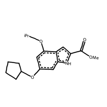 COC(=O)c1cc2c(OC(C)C)cc(OC3CCCC3)cc2[nH]1